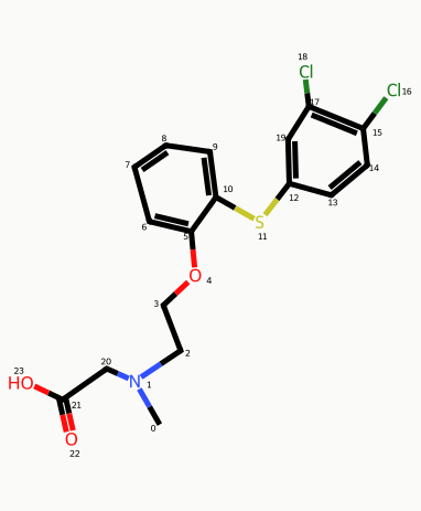 CN(CCOc1ccccc1Sc1ccc(Cl)c(Cl)c1)CC(=O)O